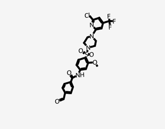 COc1cc(NC(=O)c2ccc(C=O)cc2)ccc1S(=O)(=O)N1CCN(c2cc(C(F)(F)F)cc(Cl)n2)CC1